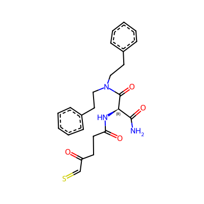 NC(=O)[C@@H](NC(=O)CCC(=O)C=S)C(=O)N(CCc1ccccc1)CCc1ccccc1